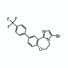 FC(F)(F)c1ccc(-c2ccc3c(c2)-c2ncc(Br)n2CCO3)cc1